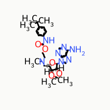 CN(CCOC(=O)Nc1ccc(C(C)(C)C)cc1)C[C@H]1OC(n2cnc3c(N)ncnc32)[C@@H]2OC(C)(C)O[C@H]12